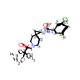 CC(C)(C)C(=O)CN1CCC2(CC1)C[C@@H]2NC(=O)c1cc(F)cc(Cl)c1